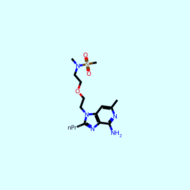 CCCc1nc2c(N)nc(C)cc2n1CCOCCN(C)S(C)(=O)=O